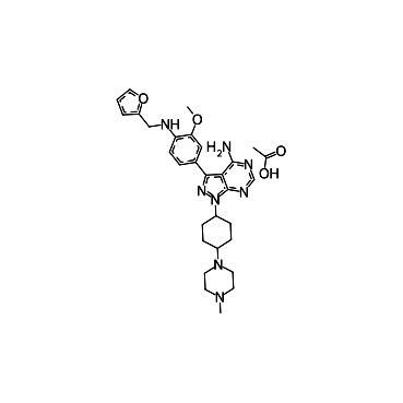 CC(=O)O.COc1cc(-c2nn(C3CCC(N4CCN(C)CC4)CC3)c3ncnc(N)c23)ccc1NCc1ccco1